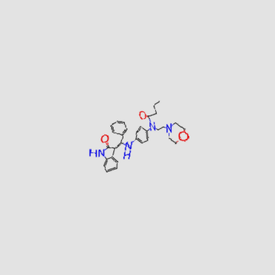 CCCC(=O)N(CCN1CCOCC1)c1ccc(NC(=C2C(=O)Nc3ccccc32)c2ccccc2)cc1